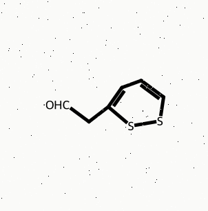 O=[C]CC1=CC=CSS1